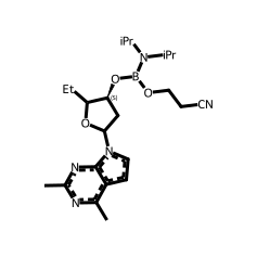 CCC1OC(n2ccc3c(C)nc(C)nc32)C[C@@H]1OB(OCCC#N)N(C(C)C)C(C)C